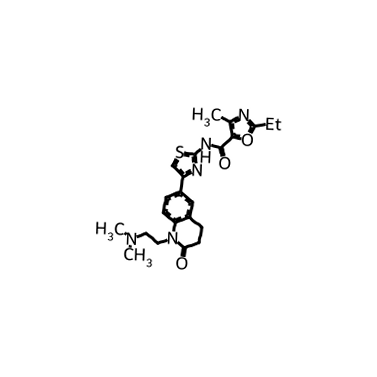 CCc1nc(C)c(C(=O)Nc2nc(-c3ccc4c(c3)CCC(=O)N4CCN(C)C)cs2)o1